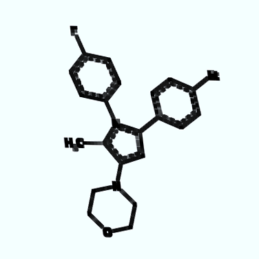 CCc1ccc(-c2cc(N3CCOCC3)c(C)n2-c2ccc(F)cc2)cc1